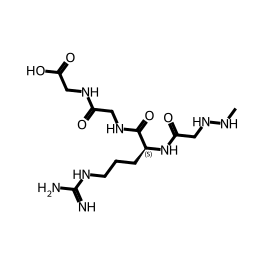 CNNCC(=O)N[C@@H](CCCNC(=N)N)C(=O)NCC(=O)NCC(=O)O